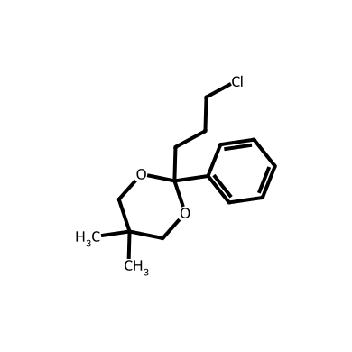 CC1(C)COC(CCCCl)(c2ccccc2)OC1